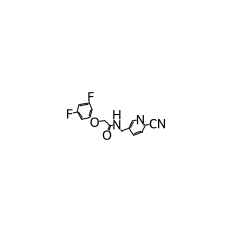 N#Cc1ccc(CNC(=O)COc2cc(F)cc(F)c2)cn1